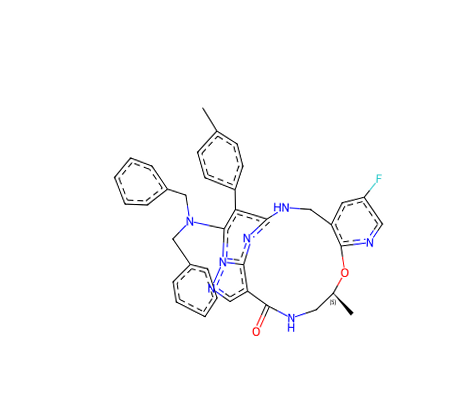 Cc1ccc(-c2c3nc4c(cnn4c2N(Cc2ccccc2)Cc2ccccc2)C(=O)NC[C@H](C)Oc2ncc(F)cc2CN3)cc1